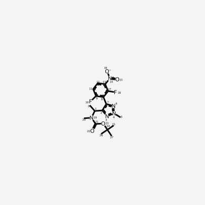 CC(c1nn(C)nc1-c1c(F)ccc([N+](=O)[O-])c1F)N(C)C(=O)OC(C)(C)C